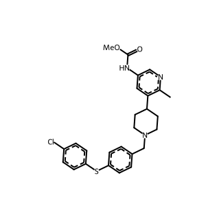 COC(=O)Nc1cnc(C)c(C2CCN(Cc3ccc(Sc4ccc(Cl)cc4)cc3)CC2)c1